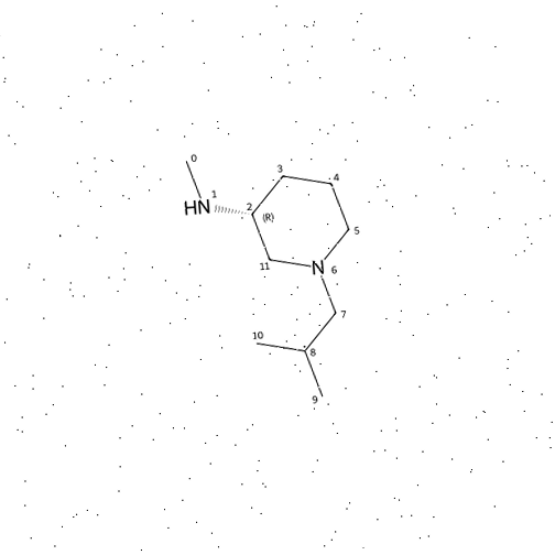 CN[C@@H]1CCCN(C[C](C)C)C1